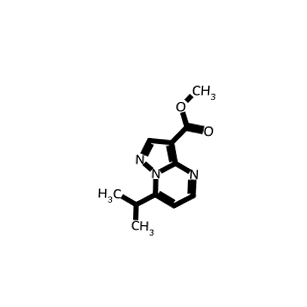 COC(=O)c1cnn2c(C(C)C)ccnc12